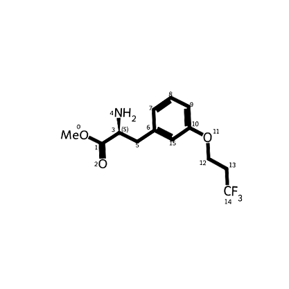 COC(=O)[C@@H](N)Cc1cccc(OCCC(F)(F)F)c1